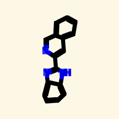 c1ccc2cc(-c3nc4ccccc4[nH]3)ncc2c1